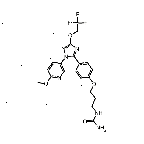 COc1ccc(-n2nc(OCC(F)(F)F)nc2-c2ccc(OCCCNC(N)=O)cc2)cn1